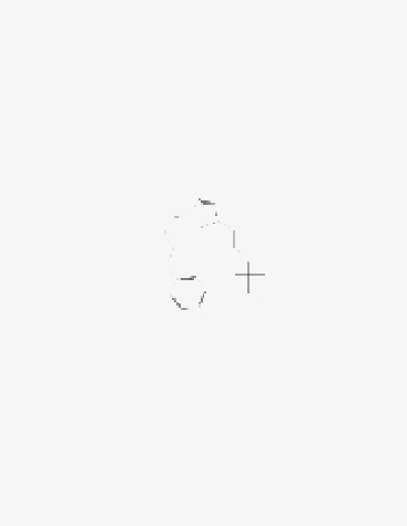 CC(C)(C)c1ccc(OCCN(C(=O)O)N2C=CN(CCOC(F)(F)C(F)F)C2)cc1